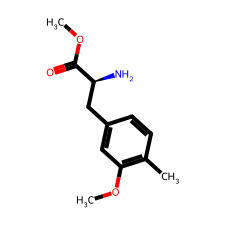 COC(=O)[C@@H](N)Cc1ccc(C)c(OC)c1